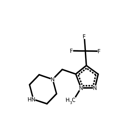 Cn1ncc(C(F)(F)F)c1CN1CCNCC1